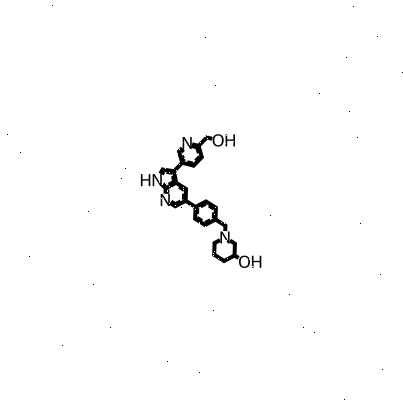 OCc1ccc(-c2c[nH]c3ncc(-c4ccc(CN5CCCC(O)C5)cc4)cc23)cn1